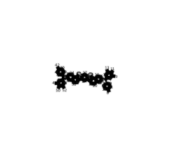 Cc1ccc(N(c2cc(C)c(C)c(C)c2)c2ccc3c(ccc4c5cc6c(cc5oc34)oc3c4ccc(N(c5ccc(C)cc5)c5cc(C)c(C)c(C)c5)cc4ccc63)c2)cc1